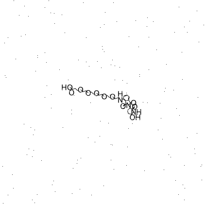 O=C(O)CCOCCOCCOCCOCCOCCNc1cccc2c1C(=O)N(C1CCC(O)NC1=O)C2=O